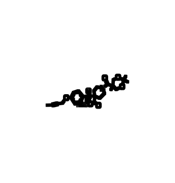 CC#CCOc1ccc(S(=O)(=O)C2(C(=O)OC)CCN(C(=O)C3(C)COC(C)(C)OC3)CC2)cc1